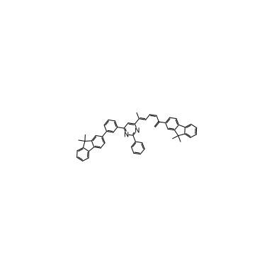 C=C(/C=C\C=C(/C)c1cc(-c2cccc(-c3ccc4c(c3)C(C)(C)c3ccccc3-4)c2)nc(-c2ccccc2)n1)c1ccc2c(c1)C(C)(C)c1ccccc1-2